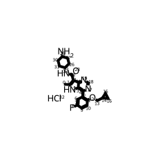 Cc1[nH]c2c(-c3cc(F)ccc3OCC3CC3)ncnc2c1C(=O)N[C@H]1CC[C@H](N)CC1.Cl